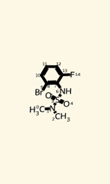 CN(C)S(=O)(=O)Nc1c(Br)[c]ccc1F